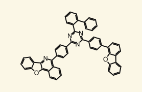 c1ccc(-c2ccccc2-c2nc(-c3ccc(-c4nc5c6ccccc6oc5c5ccccc45)cc3)nc(-c3ccc(-c4cccc5c4oc4ccccc45)cc3)n2)cc1